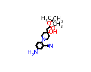 CC(C)(C)OC(=O)CC1(O)CCN(c2ccc(N)cc2C#N)CC1